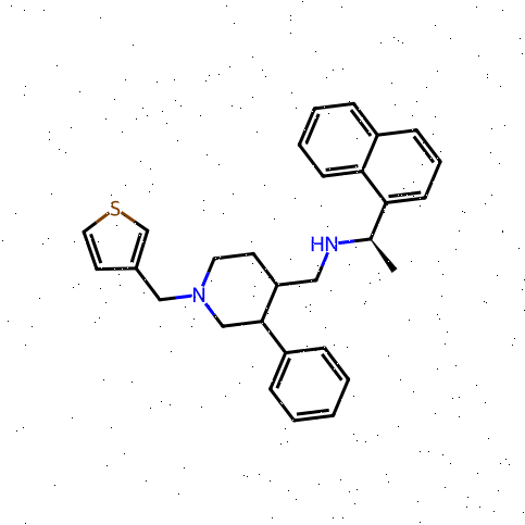 C[C@@H](NCC1CCN(Cc2ccsc2)CC1c1ccccc1)c1cccc2ccccc12